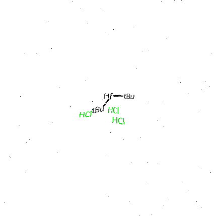 C[C](C)(C)[Hf][C](C)(C)C.Cl.Cl.Cl